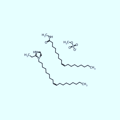 CCCCCCCC/C=C\CCCCCCCC(=O)NC.CCCCCCCC/C=C\CCCCCCCC[n+]1cc[nH]c1CC.COS(=O)(=O)[O-]